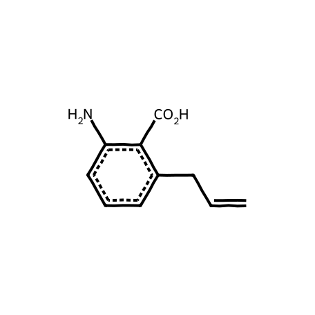 C=CCc1cccc(N)c1C(=O)O